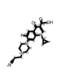 N#CCCN1CCN(c2cc3c(cc2F)c(=O)c(C(=O)O)cn3C2CC2)CC1